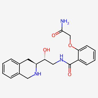 NC(=O)COc1ccccc1C(=O)NC[C@@H](O)[C@@H]1Cc2ccccc2CN1